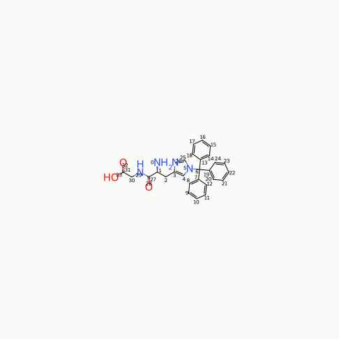 N[C@@H](Cc1cn(C(c2ccccc2)(c2ccccc2)c2ccccc2)cn1)C(=O)NCC(=O)O